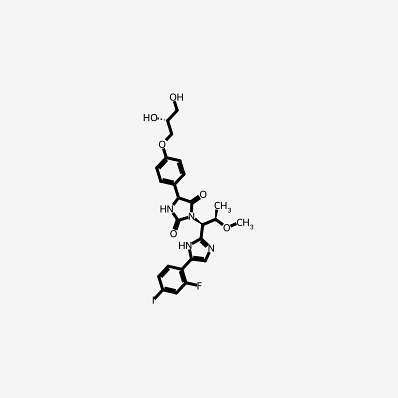 CO[C@H](C)[C@@H](c1ncc(-c2ccc(I)cc2F)[nH]1)N1C(=O)NC(c2ccc(OC[C@H](O)CO)cc2)C1=O